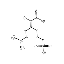 CC(C(=O)O)=C(CCCS(=O)(=O)O)CCN(C)C